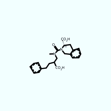 CN(CC(CCc1ccccc1)C(=O)O)C(=O)N1Cc2ccccc2C[C@H]1C(=O)O